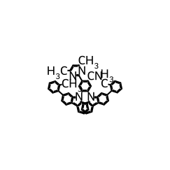 Cc1cc(C)nc(-c2cc(-n3c4ccccc4c4ccc(-c5ccccc5C)cc43)c(-n3c4ccccc4c4ccc(-c5ccccc5C)cc43)cc2C#N)n1